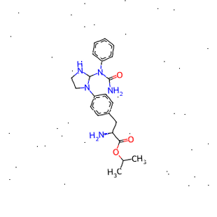 CC(C)OC(=O)[C@@H](N)Cc1ccc(N2CCNC2N(C(N)=O)c2ccccc2)cc1